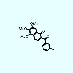 COc1cc2c(c(OC)c1OC)CC=C(C(=O)c1cccc(C)c1)C2=O